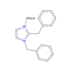 CCCCC[n+]1ccn(Cc2ccccc2)c1Cc1ccccc1